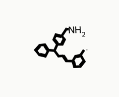 [CH2]c1cccc(C=CCC(c2ccccc2)c2ccc(CN)cc2)c1